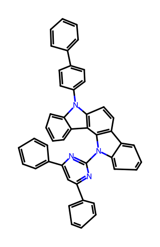 c1ccc(-c2ccc(-n3c4ccccc4c4c3ccc3c5ccccc5n(-c5nc(-c6ccccc6)cc(-c6ccccc6)n5)c34)cc2)cc1